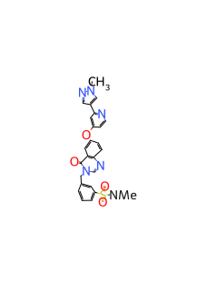 CNS(=O)(=O)c1cccc(Cn2cnc3ccc(Oc4ccnc(-c5cnn(C)c5)c4)cc3c2=O)c1